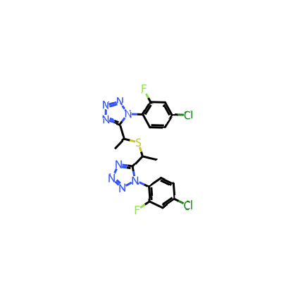 CC(SC(C)c1nnnn1-c1ccc(Cl)cc1F)c1nnnn1-c1ccc(Cl)cc1F